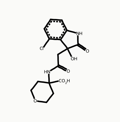 O=C(CC1(O)C(=O)Nc2cccc(Cl)c21)NC1(C(=O)O)CCOCC1